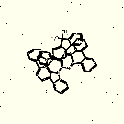 CC1(C)c2ccccc2-c2ccc(-n3c4ccccc4c4ccc5c6ccccc6n(-c6nc7c8ccccc8c8ccccc8c7nc6-c6ccccc6)c5c43)cc21